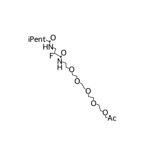 CCCC(C)C(=O)NCC(F)C(=O)NCCOCCOCCOCCOCCOCC(C)=O